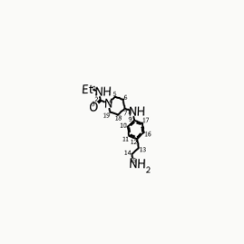 CCNC(=O)N1CCC(Nc2ccc(CCN)cc2)CC1